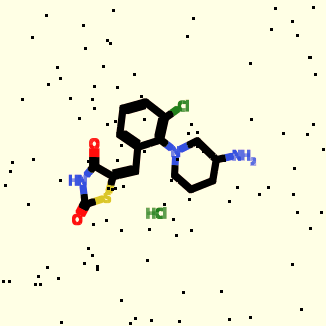 Cl.NC1CCCN(c2c(Cl)cccc2/C=C2/SC(=O)NC2=O)C1